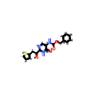 O=C(Nc1cnc(C(=O)Cc2cccs2)[nH]c1=O)OCc1ccccc1